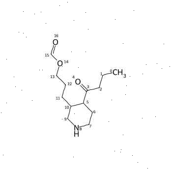 CCCC(=O)C1CCNCC1CCCOC=O